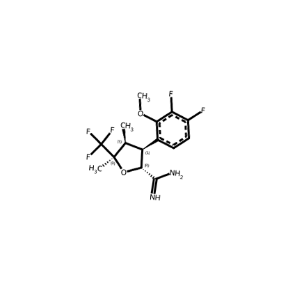 COc1c([C@H]2[C@H](C(=N)N)O[C@@](C)(C(F)(F)F)[C@H]2C)ccc(F)c1F